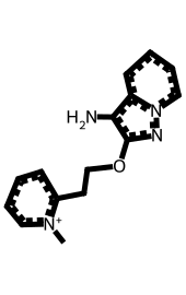 C[n+]1ccccc1CCOc1nn2ccccc2c1N